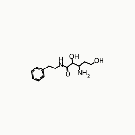 NC(CCO)C(O)C(=O)NCCc1ccccc1